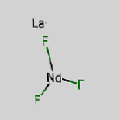 [F][Nd]([F])[F].[La]